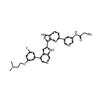 CN(C)CCOc1cc(F)cc(-c2cncc3[nH]c(-c4n[nH]c5ccc(-c6cncc(NC(=O)CC(C)(C)C)c6)nc45)cc23)c1